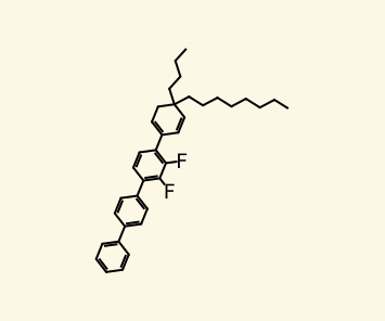 CCCCCCCCC1(CCCC)C=CC(c2ccc(-c3ccc(-c4ccccc4)cc3)c(F)c2F)=CC1